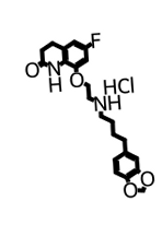 Cl.O=C1CCc2cc(F)cc(OCCNCCCCc3ccc4c(c3)OCO4)c2N1